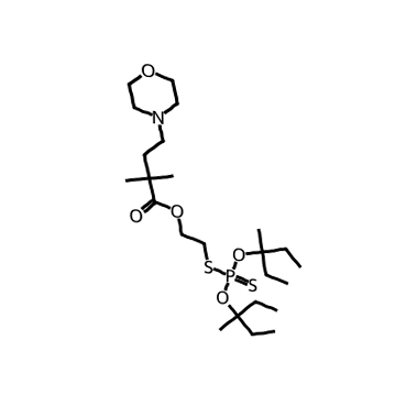 CCC(C)(CC)OP(=S)(OC(C)(CC)CC)SCCOC(=O)C(C)(C)CCN1CCOCC1